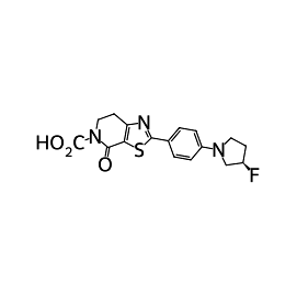 O=C(O)N1CCc2nc(-c3ccc(N4CC[C@@H](F)C4)cc3)sc2C1=O